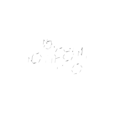 CCN(CC)c1nc2ccc(C(O)(c3ccncc3)c3cncn3C)cc2c(Cl)c1-c1ccccc1